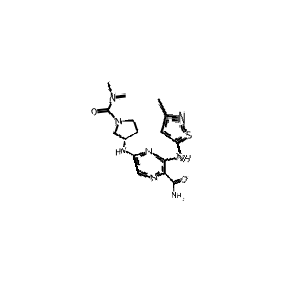 Cc1cc(Nc2nc(N[C@@H]3CCN(C(=O)N(C)C)C3)cnc2C(N)=O)sn1